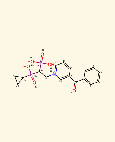 O=C(c1ccccc1)c1ccc[n+](CC(P(=O)(O)O)P(=O)(O)C2CC2)c1